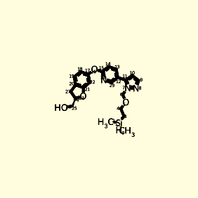 C[SiH](C)CCOCn1nccc1-c1ccc(Oc2ccc3c(c2)O[C@@H](CO)C3)nc1